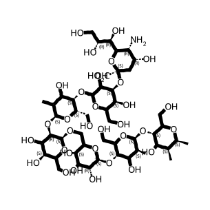 CC1C(O)[C@H](OC2OC(CO)[C@H](O)[C@H](O[C@]3(C(=O)O)C[C@@H](O)[C@@H](N)C([C@H](O)[C@H](O)CO)O3)C2O)[C@H](CO)O[C@H]1O[C@@H]1C(O)[C@H](O)C(CO)O[C@@H]1OCC1O[C@@H](O[C@@H]2C(CO)O[C@@H](O[C@@H]3C(CO)O[C@@H](C)[C@@H](C)C3O)[C@@H](C)C2O)[C@H](O)C(O)[C@@H]1O